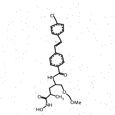 COCOCC(CC(C)C(=O)NO)NC(=O)c1ccc(/C=C/c2ccc(Cl)cc2)cc1